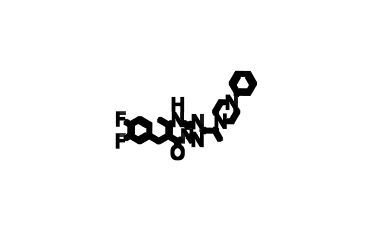 Cc1[nH]c2nc(C(C)N3CCN(c4ccccc4)CC3)nn2c(=O)c1Cc1ccc(F)c(F)c1